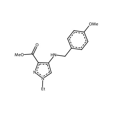 CCn1cc(NCc2ccc(OC)cc2)c(C(=O)OC)n1